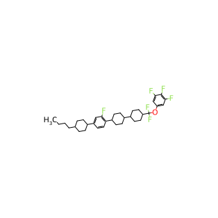 CCCCC1CCC(c2ccc(C3CCC(C4CCC(C(F)(F)Oc5cc(F)c(F)c(F)c5)CC4)CC3)c(F)c2)CC1